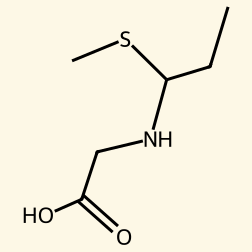 CCC(NCC(=O)O)SC